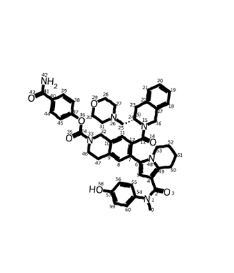 CN(C(=O)c1cc(-c2cc3c(cc2C(=O)N2Cc4ccccc4C[C@H]2CN2CCOCC2)CN(C(=O)Oc2ccc(C(N)=O)cc2)CC3)n2c1CCCC2)c1ccc(O)cc1